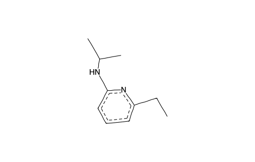 CCc1cccc(NC(C)C)n1